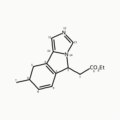 CCOC(=O)CC1C2=C(CC(C)C=C2)c2cncn21